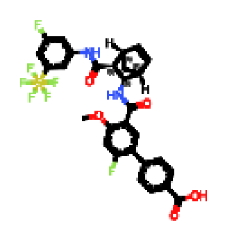 COc1cc(F)c(-c2ccc(C(=O)O)cc2)cc1C(=O)N[C@H]1[C@@H](C(=O)Nc2cc(F)cc(S(F)(F)(F)(F)F)c2)[C@@H]2C=C[C@H]1C2